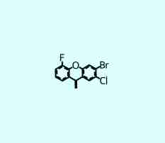 C=C1c2cc(Cl)c(Br)cc2Oc2c(F)cccc21